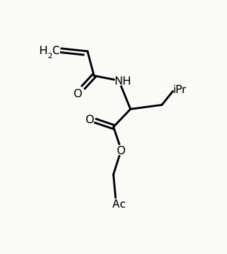 C=CC(=O)NC(CC(C)C)C(=O)OCC(C)=O